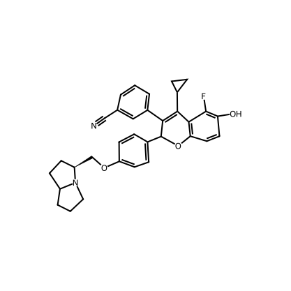 N#Cc1cccc(C2=C(C3CC3)c3c(ccc(O)c3F)OC2c2ccc(OC[C@@H]3CCC4CCCN43)cc2)c1